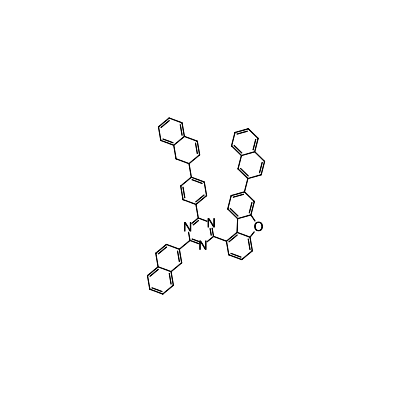 C1=CC(c2ccc(-c3nc(-c4ccc5ccccc5c4)nc(-c4cccc5oc6cc(-c7ccc8ccccc8c7)ccc6c45)n3)cc2)Cc2ccccc21